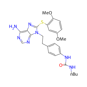 CCCCNC(=O)Nc1ccc(CCn2c(Sc3cc(OC)ccc3OC)nc3c(N)ncnc32)cc1